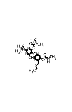 CCSCc1ccccc1OC(=O)NC.Cc1nc(N(C)C)nc(OC(=O)N(C)C)c1C